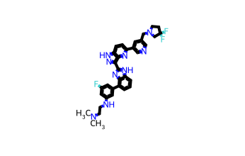 CN(C)CCNc1cc(F)cc(-c2cccc3[nH]c(-c4n[nH]c5ccc(-c6cncc(CN7CCC(F)(F)C7)c6)nc45)nc23)c1